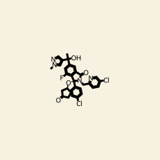 Cn1cc(C(C)(O)c2cc(F)c3c(c2)C(=O)N(Cc2ccc(Cl)cn2)[C@@]3(O[C@H]2CCC(=O)C2)c2ccc(Cl)cc2)cn1